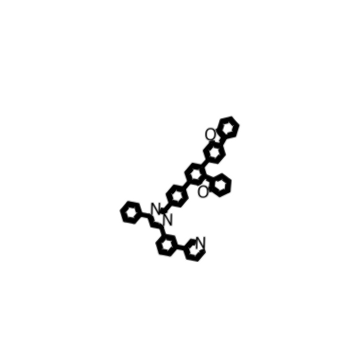 c1ccc(-c2cc(-c3cccc(-c4cccnc4)c3)nc(-c3ccc(-c4ccc(-c5ccc6c(c5)oc5ccccc56)c5c4oc4ccccc45)cc3)n2)cc1